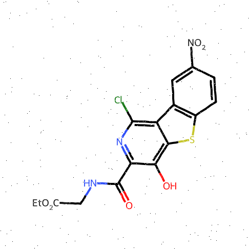 CCOC(=O)CNC(=O)c1nc(Cl)c2c(sc3ccc([N+](=O)[O-])cc32)c1O